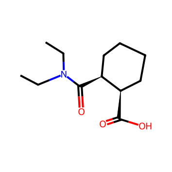 CCN(CC)C(=O)[C@H]1CCCC[C@H]1C(=O)O